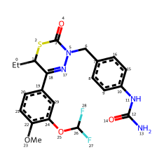 CCC1SC(=O)N(Cc2ccc(NC(N)=O)cc2)N=C1c1ccc(OC)c(OC(F)F)c1